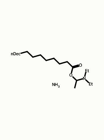 CCCCCCCCCCCCCCCCCC(=O)OC(C)N(CC)CC.N